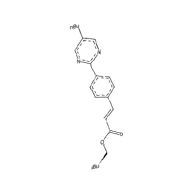 CCCCc1cnc(-c2ccc(C=CC(=O)OC[C@H](C)CC)cc2)nc1